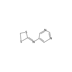 c1ncc(N=C2SCS2)cn1